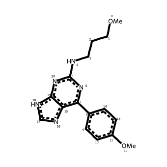 COCCCNc1nc(-c2ccc(OC)cc2)c2nc[nH]c2n1